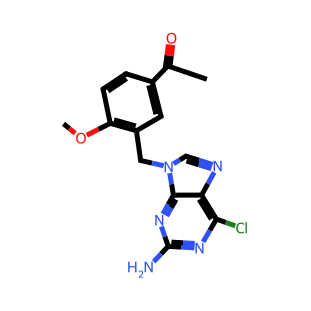 COc1ccc(C(C)=O)cc1Cn1cnc2c(Cl)nc(N)nc21